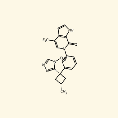 Cn1cnnc1[C@]1(c2cccc(-n3cc(C(F)(F)F)c4cc[nH]c4c3=O)c2)C[C@H](C)C1